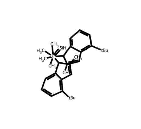 CC1=Cc2c(cccc2C(C)(C)C)[CH]1[Zr]([CH3])([CH3])([CH3])([CH3])(=[SiH2])[CH]1C(C)=Cc2c1cccc2C(C)(C)C